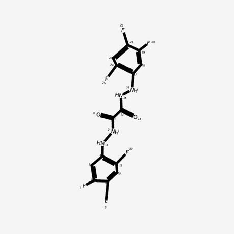 O=C(NNc1cc(F)c(F)cc1F)C(=O)NNc1cc(F)c(F)cc1F